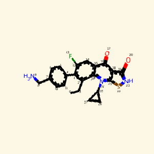 CCc1c(-c2ccc(CN)cc2)c(F)cc2c(=O)c3c(=O)[nH]sc3n(C3CC3)c12